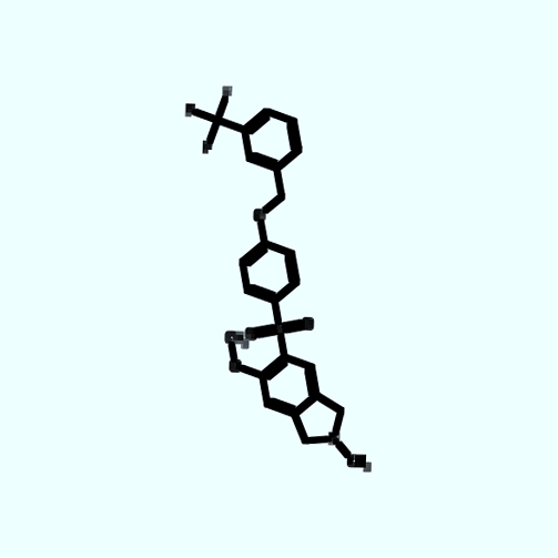 COc1cc2c(cc1S(=O)(=O)c1ccc(OCc3cccc(C(F)(F)F)c3)cc1)CN(C)C2